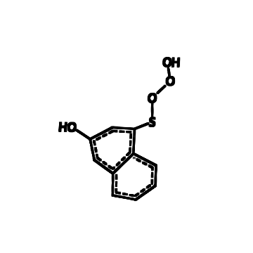 OOOSc1cc(O)cc2ccccc12